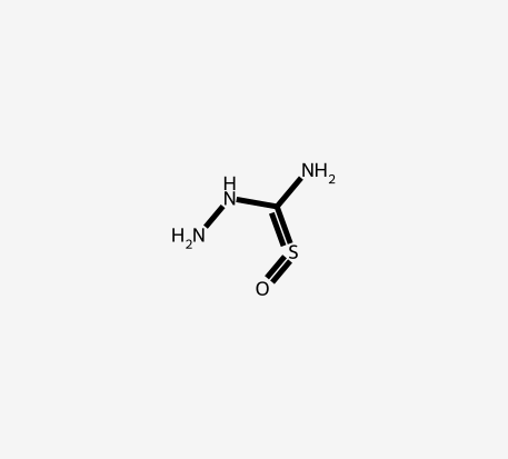 NNC(N)=S=O